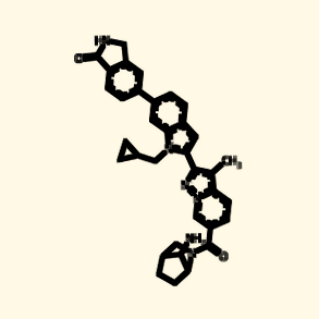 Cc1c(-c2cc3ccc(-c4ccc5c(c4)CNC5=O)cc3n2CC2CC2)nn2cc(C(=O)N3CC4CCC3C4N)ccc12